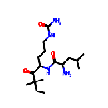 CCC(C)(C)C(=O)C(CCCNC(N)=O)NC(=O)C(N)CC(C)C